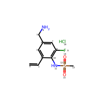 C=Cc1cc(CN)cc(F)c1NS(C)(=O)=O.Cl